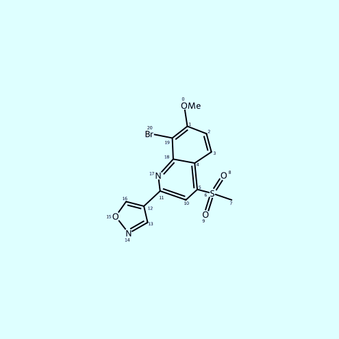 COc1ccc2c(S(C)(=O)=O)cc(-c3cnoc3)nc2c1Br